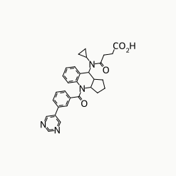 O=C(O)CCC(=O)N(C1CC1)C1c2ccccc2N(C(=O)c2cccc(-c3cncnc3)c2)C2CCCC21